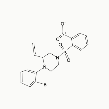 C=CC1CN(S(=O)(=O)c2ccccc2[N+](=O)[O-])CCN1c1ccccc1Br